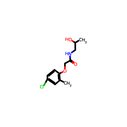 Cc1cc(Cl)ccc1OCC(=O)NCC(C)O